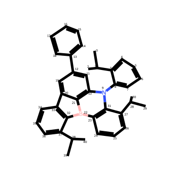 CC(C)c1ccccc1N1c2cc(-c3ccccc3)cc3c2B(c2cccc(C(C)C)c21)c1c-3cccc1C(C)C